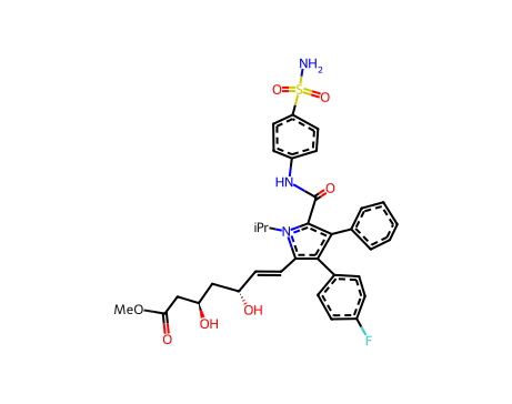 COC(=O)C[C@H](O)C[C@@H](O)/C=C/c1c(-c2ccc(F)cc2)c(-c2ccccc2)c(C(=O)Nc2ccc(S(N)(=O)=O)cc2)n1C(C)C